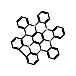 c1ccc2c(c1)B1c3ccccc3B3c4ccccc4B4c5c3c1c1c3c5-n5c6c(cccc6c6cccc4c65)B3c3ccccc3B21